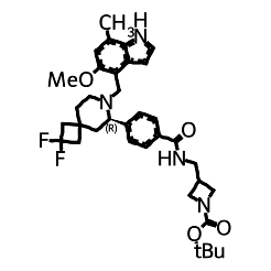 COc1cc(C)c2[nH]ccc2c1CN1CCC2(C[C@@H]1c1ccc(C(=O)NCC3CN(C(=O)OC(C)(C)C)C3)cc1)CC(F)(F)C2